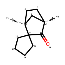 O=C1[C@@H]2CC[C@@H](C2)C12CCCC2